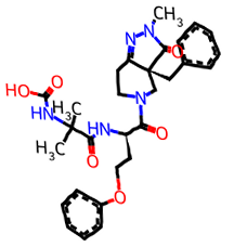 CN1N=C2CCN(C(=O)[C@@H](CCOc3ccccc3)NC(=O)C(C)(C)NC(=O)O)C[C@@]2(Cc2ccccc2)C1=O